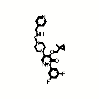 CC1(COc2c(N3CCN(SNCc4ccncc4)CC3)cnn(-c3cc(F)cc(F)c3)c2=O)CC1